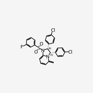 C=C1C=CC=C2N1[C@@H](c1ccc(Cl)cc1)[C@@H](c1ccc(Cl)cc1)N2S(=O)(=O)c1cccc(F)c1